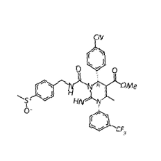 COC(=O)C1=C(C)N(c2cccc(C(F)(F)F)c2)C(=N)N(C(=O)NCc2ccc([S+](C)[O-])cc2)[C@@H]1c1ccc(C#N)cc1